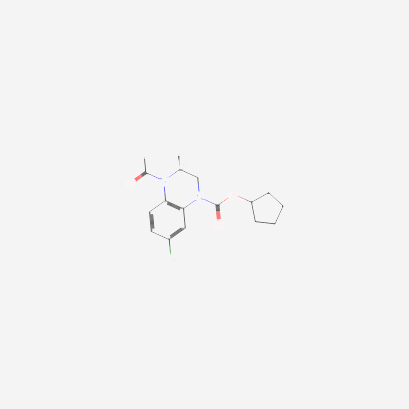 CC(=O)N1c2ccc(Br)cc2N(C(=O)OC2CCCC2)C[C@@H]1C